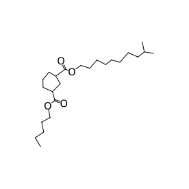 CCCCCOC(=O)C1CCCC(C(=O)OCCCCCCCCC(C)C)C1